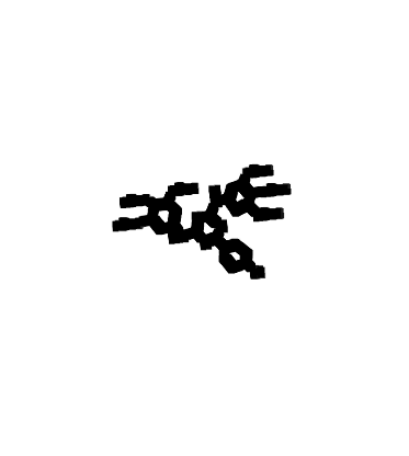 CCCCCCCCCCc1cc(Nc2nc(Nc3cc(CCCCCCCCCC)c(CCCCCCCCCC)c(CCCCCCCCCC)c3)nc(-c3ccc(CC)cc3)n2)cc(CCCCCCCCCC)c1CCCCCCCCCC